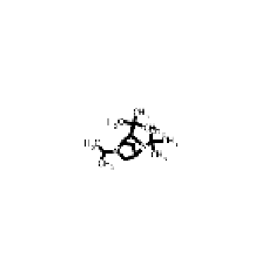 CC(C)N1CC2CC1C(C(C)(C)C)N2C(C)(C)C